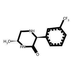 C[C@@H]1CN[C@@H](c2cccc(C(F)(F)F)c2)C(=O)N1